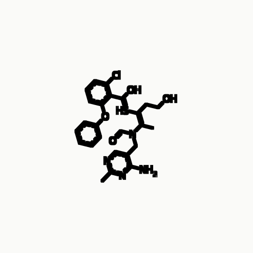 C/C(=C(CCO)/[SH]=C(\O)c1c(Cl)cccc1Oc1ccccc1)N(C=O)Cc1cnc(C)nc1N